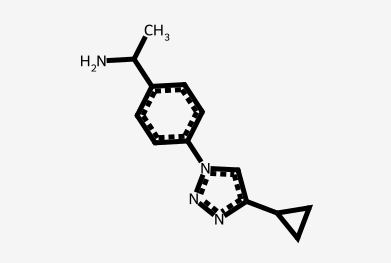 CC(N)c1ccc(-n2cc(C3CC3)nn2)cc1